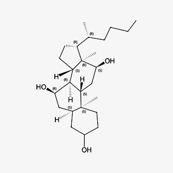 CCCC[C@@H](C)[C@H]1CC[C@H]2[C@@H]3[C@H](O)C[C@@H]4CC(O)CC[C@]4(C)[C@H]3C[C@H](O)[C@]12C